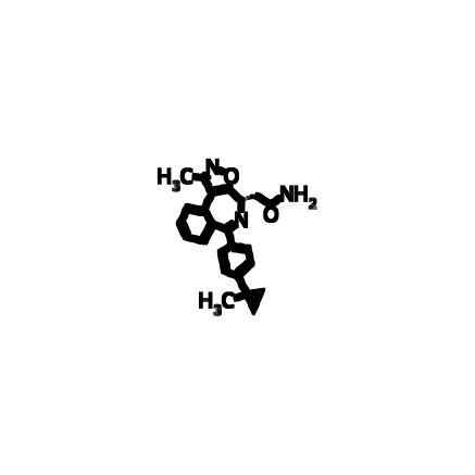 Cc1noc2c1-c1ccccc1C(c1ccc(C3(C)CC3)cc1)=N[C@H]2CC(N)=O